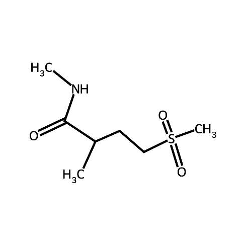 CNC(=O)C(C)CCS(C)(=O)=O